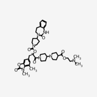 Cc1cc(C[C@@H](OC(=O)N2CCC(N3CCc4ccccc4NC3=O)CC2)C(=O)N2CCC(N3CCC(C(=O)OCCN(C)C)CC3)CC2)cc2oc(=O)n(C)c12